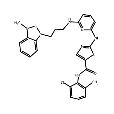 Cc1cccc(Cl)c1NC(=O)c1cnc(Nc2cccc(NCCCN3SN(C)c4ccccc43)n2)s1